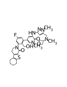 CN(Cc1cc(Nc2cc(-c3cc(F)cc(N4CCc5c(sc6c5CCCC6)C4=O)c3CO)cn(C)c2=O)nn1C)C1COC1